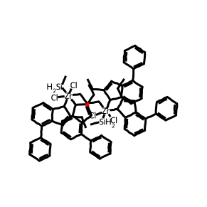 CCC1=Cc2c(-c3ccccc3)cccc2[CH]1[Zr]([Cl])([Cl])([CH2]C[CH2][Zr]([Cl])([Cl])([SiH2]C)([CH]1C(CC)=Cc2c(-c3ccccc3)cccc21)[CH]1C(CC)=Cc2c(-c3ccccc3)cccc21)([SiH2]C)[CH]1C(CC)=Cc2c(-c3ccccc3)cccc21